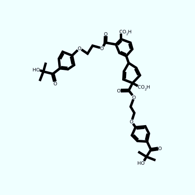 CC(C)(O)C(=O)c1ccc(OCCOC(=O)c2cc(C3C=CC(C(=O)O)(C(=O)OCCOc4ccc(C(=O)C(C)(C)O)cc4)C=C3)ccc2C(=O)O)cc1